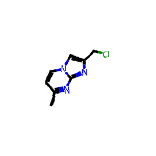 Cc1ccn2cc(CCl)nc2n1